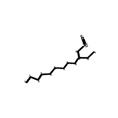 [CH2]CCCCCCCCC(CC)C[S+]=O